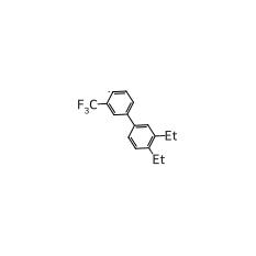 CCc1ccc(-c2cc[c]c(C(F)(F)F)c2)cc1CC